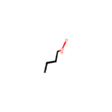 CCCC[OH+][O-]